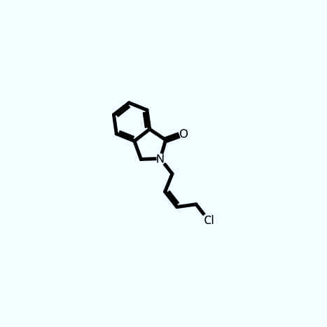 O=C1c2ccccc2CN1C/C=C\CCl